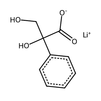 O=C([O-])C(O)(CO)c1ccccc1.[Li+]